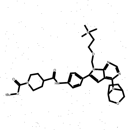 CC(C)(C)OC(=O)N1CCC(C(=O)Nc2ccc(-c3cc4c(N5C6CCC5COC6)ncnc4n3COCC[Si](C)(C)C)cc2)CC1